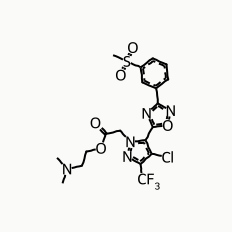 CN(C)CCOC(=O)Cn1nc(C(F)(F)F)c(Cl)c1-c1nc(-c2cccc(S(C)(=O)=O)c2)no1